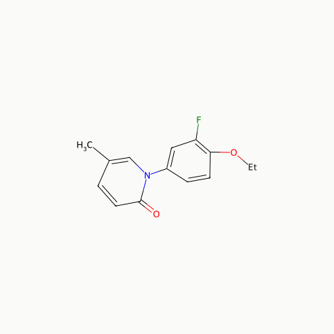 CCOc1ccc(-n2cc(C)ccc2=O)cc1F